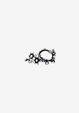 C=CC(O)N1CCCC(Oc2cccc3c2N2CCCCCOc4c(cnn4C)-c4cc(cc(C)n4)C(=O)/N=C/2N3)C1